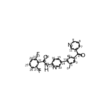 Cc1cc(C(=O)c2cccnc2)sc1-c1ccc(NC(=O)c2c(F)cccc2F)nc1